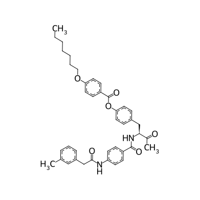 CCCCCCCOc1ccc(C(=O)Oc2ccc(C[C@H](NC(=O)c3ccc(NC(=O)Cc4cccc(C)c4)cc3)C(C)=O)cc2)cc1